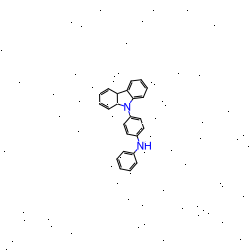 C1=CC2c3ccccc3N(c3ccc(Nc4ccccc4)cc3)C2C=C1